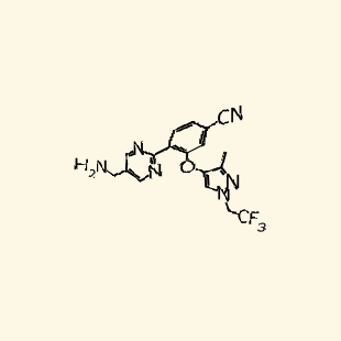 Cc1nn(CC(F)(F)F)cc1Oc1cc(C#N)ccc1-c1ncc(CN)cn1